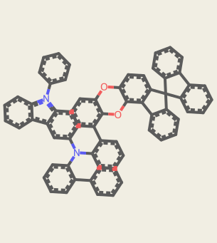 c1ccc(-c2ccccc2N(c2ccc3c(c2)c2ccccc2n3-c2ccccc2)c2ccccc2-c2cccc3c2Oc2c(ccc4c2-c2ccccc2C42c4ccccc4-c4ccccc42)O3)cc1